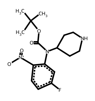 CC(C)(C)OC(=O)N(c1cc(F)ccc1[N+](=O)[O-])C1CCNCC1